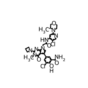 C[C@H]1COCCN1c1cc(NC(=O)Cn2cc(-c3cc(Cl)c(O)c(C(N)=O)c3)c3c(=O)n(C)c(N4CCC4)nc32)c(Cl)cn1